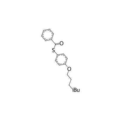 CCC(C)CCCOc1ccc(SC(=O)c2ccccc2)cc1